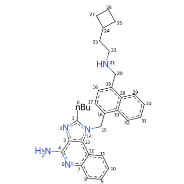 CCCCc1nc2c(N)nc3ccccc3c2n1Cc1ccc(CNCCC2CCC2)c2ccccc12